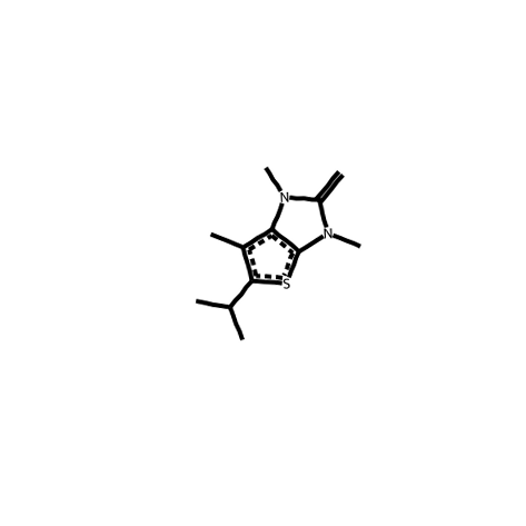 C=C1N(C)c2sc(C(C)C)c(C)c2N1C